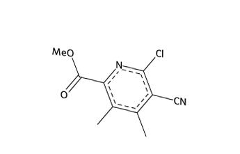 COC(=O)c1nc(Cl)c(C#N)c(C)c1C